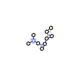 c1ccc(-c2nc(-c3ccccc3)nc(-c3ccc(-n4c5ccccc5c5ccc(-c6ccc7c(c6)c6ccccc6n7-c6cccc7c6sc6ccccc67)cc54)cc3)n2)cc1